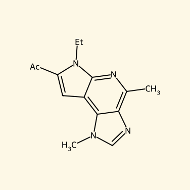 CCn1c(C(C)=O)cc2c3c(ncn3C)c(C)nc21